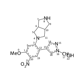 COc1cc(N2CC3CNCC3C2)c(-c2cnn(C)c2)cc1[N+](=O)[O-].Cl